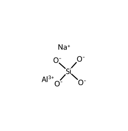 [Al+3].[Na+].[O-][Si]([O-])([O-])[O-]